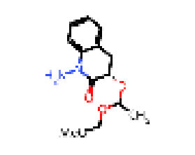 COCOC(C)O[C@H]1Cc2ccccc2N(N)C1=O